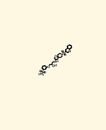 CNS(=O)(=O)c1cccc(OC[C@@H](O)CN[C@@H]2COC3(CCN(S(=O)(=O)c4cnc5ccccc5c4)CC3)C2)c1